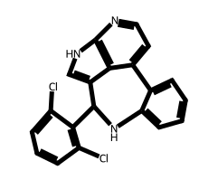 Clc1cccc(Cl)c1C1Nc2ccccc2-c2ccnc3[nH]cc1c23